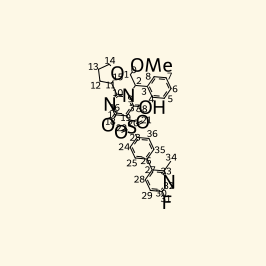 COCC(c1ccccc1)n1c(C2CCCO2)nc(=O)c(S(=O)(=O)c2ccc(-c3ccc(F)nc3C)cc2)c1O